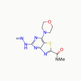 C=NNc1nc(N2CCOCC2)c2sc(C(=O)NC)nc2n1